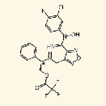 N=C(c1nonc1CN[C@@H](COC(=O)C(F)(F)F)c1ccccc1)N(O)c1ccc(F)c(Cl)c1